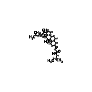 CCC(C)CNC(=O)CO[C@H]1CC[C@@]2(C)C(=CCC3C4CCC(C(C)CCCC(C)C)[C@@]4(C)CCC32)C1